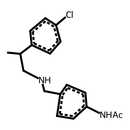 CC(=O)Nc1ccc(CNCC(C)c2ccc(Cl)cc2)cc1